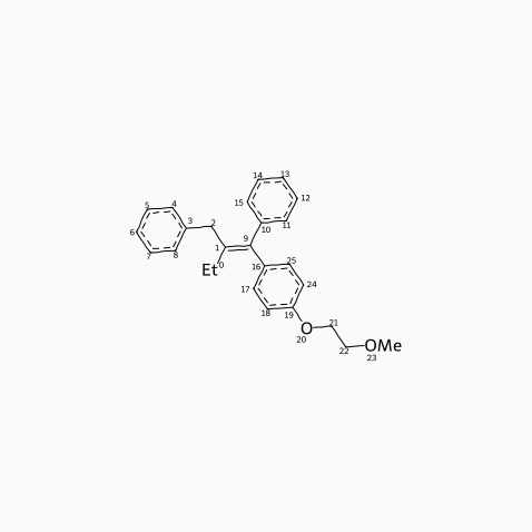 CCC(Cc1ccccc1)=C(c1ccccc1)c1ccc(OCCOC)cc1